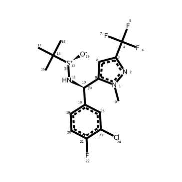 Cn1nc(C(F)(F)F)cc1[C@H](N[S@+]([O-])C(C)(C)C)c1ccc(F)c(Cl)c1